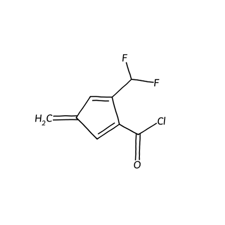 C=C1C=C(C(=O)Cl)C(C(F)F)=C1